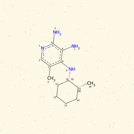 Cc1cnc(N)c(N)c1N[C@H]1CCCC[C@H]1C